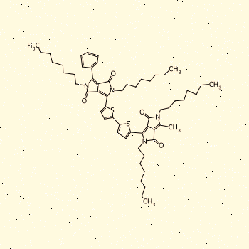 CCCCCCCCN1C(=O)C2=C(c3ccc(-c4ccc(C5=C6C(=O)N(CCCCCCCC)C(c7ccccc7)=C6C(=O)N5CCCCCCCC)s4)s3)N(CCCCCCCC)C(=O)C2=C1C